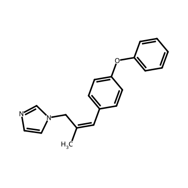 CC(=Cc1ccc(Oc2ccccc2)cc1)Cn1ccnc1